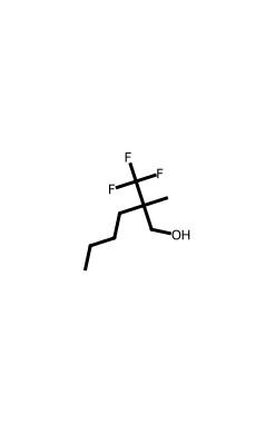 CCCCC(C)(CO)C(F)(F)F